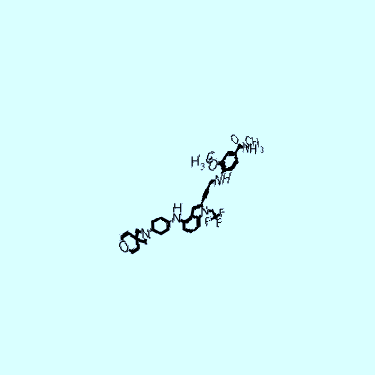 CNC(=O)c1ccc(NCC#Cc2cc3c(N[C@H]4CC[C@@H](N5CC6(CCOCC6)C5)CC4)cccc3n2CC(F)(F)F)c(OC)c1